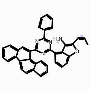 C/C=C\c1oc2cccc(-c3nc(-c4ccccc4)nc(-c4cc5ccccc5c5ccc6ccccc6c45)n3)c2c1N